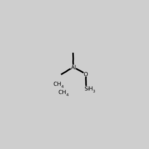 C.C.[CH3][Al]([CH3])[O][SiH3]